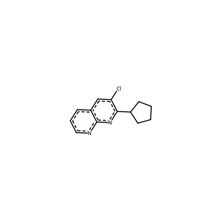 Clc1cc2cccnc2nc1C1CCCC1